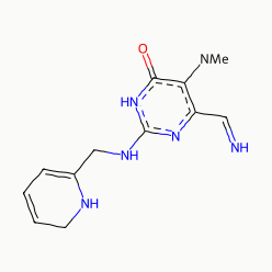 CNc1c(C=N)nc(NCC2=CC=CCN2)[nH]c1=O